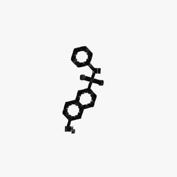 Nc1ccc2cc(S(=O)(=O)Nc3ccccc3)ccc2c1